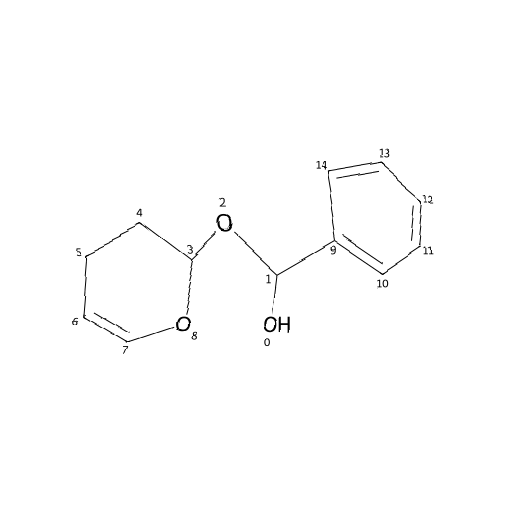 OC(OC1CCC=CO1)c1ccccc1